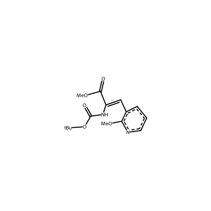 COC(=O)/C(=C/c1cccnc1OC)NC(=O)OC(C)(C)C